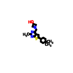 Cc1nc(CN2CC(O)C2)c2cc(C3CCC(C)(C)CC3)sc2n1